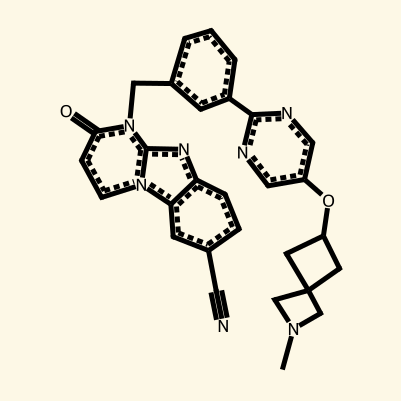 CN1CC2(CC(Oc3cnc(-c4cccc(Cn5c(=O)ccn6c7cc(C#N)ccc7nc56)c4)nc3)C2)C1